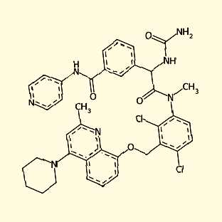 Cc1cc(N2CCCCC2)c2cccc(OCc3c(Cl)ccc(N(C)C(=O)C(NC(N)=O)c4cccc(C(=O)Nc5ccncc5)c4)c3Cl)c2n1